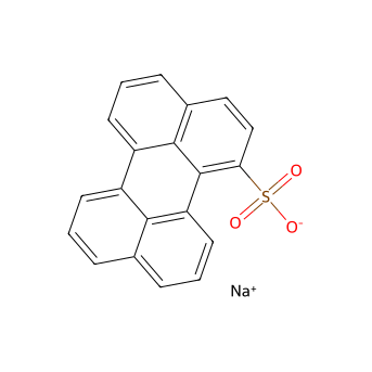 O=S(=O)([O-])c1ccc2cccc3c4cccc5cccc(c1c23)c54.[Na+]